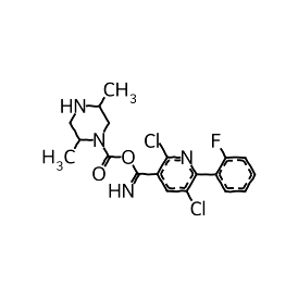 CC1CN(C(=O)OC(=N)c2cc(Cl)c(-c3ccccc3F)nc2Cl)C(C)CN1